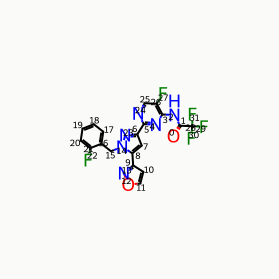 O=C(Nc1nc(-c2cc(-c3ccon3)n(Cc3ccccc3F)n2)ncc1F)C(F)(F)F